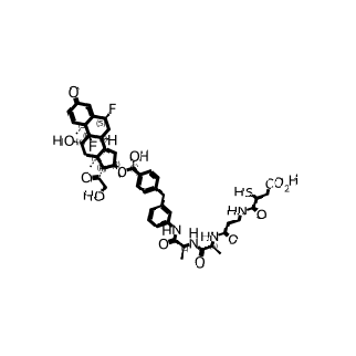 C[C@H](NC(=O)CCNC(=O)C(S)CC(=O)O)C(=O)N[C@@H](C)C(=O)Nc1cccc(Cc2ccc([C@@H](O)O[C@@H]3CC4[C@@H]5C[C@H](F)C6=CC(=O)C=C[C@]6(C)[C@@]5(F)[C@@H](O)C[C@]4(C)[C@H]3C(=O)CO)cc2)c1